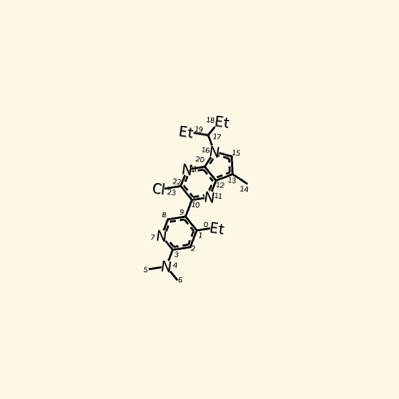 CCc1cc(N(C)C)ncc1-c1nc2c(C)cn(C(CC)CC)c2nc1Cl